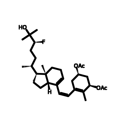 CC(=O)O[C@H]1CC(/C=C\C2=CCC[C@]3(C)[C@@H]([C@H](C)CC[C@@H](F)C(C)(C)O)CC[C@@H]23)=C(C)[C@H](OC(C)=O)C1